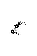 Nc1ncccc1N(N)Cc1ccc(-c2noc(C(F)(F)F)n2)cc1